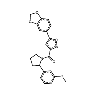 COc1cccc(C2CCCN2C(=O)c2cc(-c3ccc4c(c3)OCO4)on2)c1